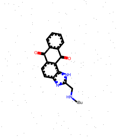 CCC(C)NCc1nc2ccc3c(c2[nH]1)C(=O)c1ccccc1C3=O